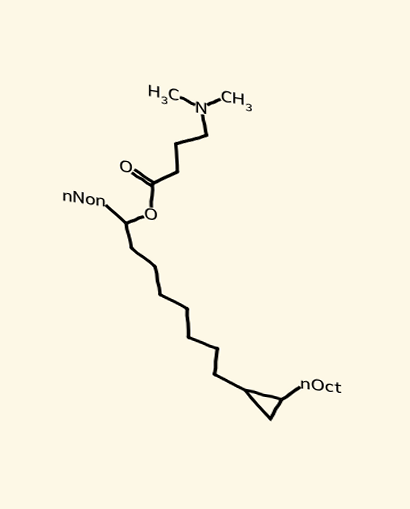 CCCCCCCCCC(CCCCCCCC1CC1CCCCCCCC)OC(=O)CCCN(C)C